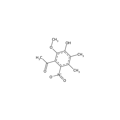 COc1c(O)c(C)c(C)c([N+](=O)[O-])c1C(C)=O